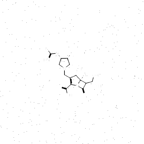 C[C@@H](O)C1C(=O)N2C(C(=O)O)=C(CN3C[C@H](O)[C@H](NC(=N)N)C3)[C@H](C)[C@H]12